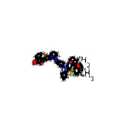 C=C1/C(=C\C=C/C)C2(C3=CC=C4C(c5ccccc5N4c4ccc(-n5c6ccccc6c6c7c(ccc65)C5(c6ccccc6S7)c6ccccc6-c6ccccc65)cc4)C3SC3=C2C=CCC3)c2ccccc21